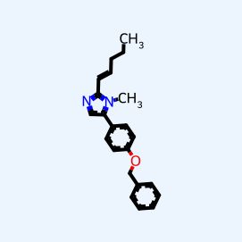 CCCC=Cc1ncc(-c2ccc(OCc3ccccc3)cc2)n1C